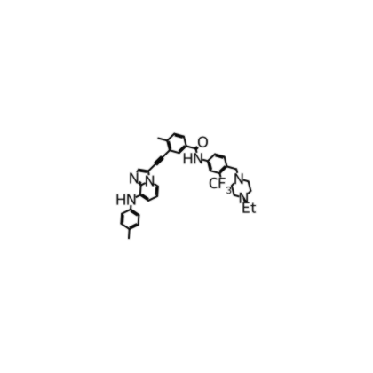 CCN1CCN(Cc2ccc(NC(=O)c3ccc(C)c(C#Cc4cnc5c(Nc6ccc(C)cc6)cccn45)c3)cc2C(F)(F)F)CC1